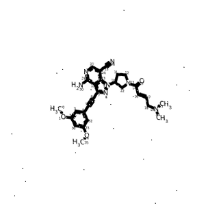 COc1cc(C#Cc2nn(C3CCN(C(=O)C=CCN(C)C)C3)c3c(C#N)cnc(N)c23)cc(OC)c1